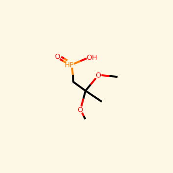 COC(C)(C[PH](=O)O)OC